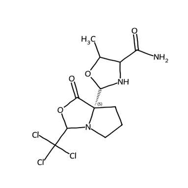 CC1OC([C@]23CCCN2C(C(Cl)(Cl)Cl)OC3=O)NC1C(N)=O